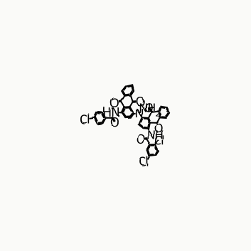 NN(c1ccc(NC(=O)c2ccc(Cl)cc2)c2c1C(=O)c1ccccc1C2=O)c1ccc(NC(=O)c2cc(Cl)ccc2Cl)c2c1C(=O)c1ccccc1C2=O